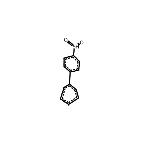 O=[SH](=O)c1ccc(-c2cc[c]cc2)cc1